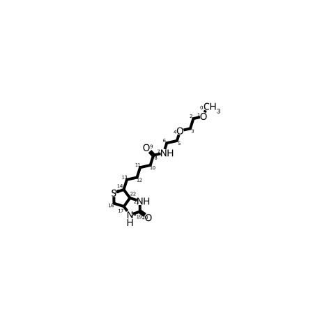 COCCOCCNC(=O)CCCCC1SCC2NC(=O)NC21